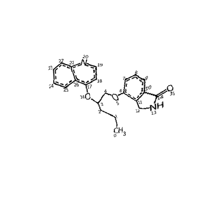 CCCC(COc1cccc2c1CNC2=O)Oc1ccnc2ccccc12